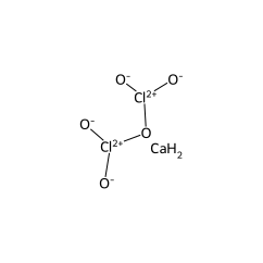 [CaH2].[O-][Cl+2]([O-])O[Cl+2]([O-])[O-]